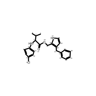 CC(C)C(Nc1ccc(Cl)cc1)C(=O)OCc1[nH]ccc1Cc1ccccc1